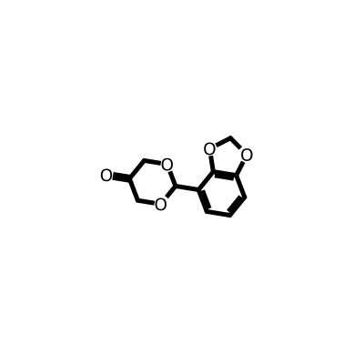 O=C1COC(c2cccc3c2OCO3)OC1